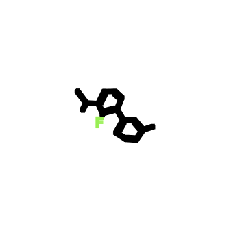 Cc1cccc(-c2cccc(C(C)C)c2F)c1